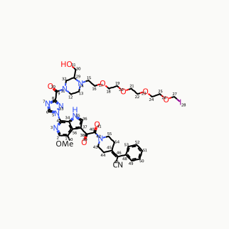 COc1cnc(-n2cnc(C(=O)N3CCN(CCOCCOCCOCCOCI)C(CO)C3)n2)c2[nH]cc(C(=O)C(=O)N3CCC(=C(C#N)c4ccccc4)CC3)c12